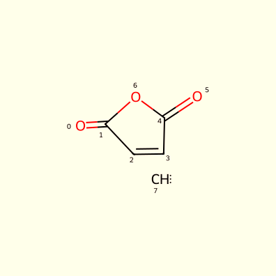 O=C1C=CC(=O)O1.[CH]